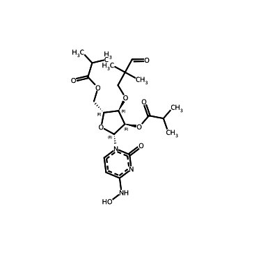 CC(C)C(=O)OC[C@H]1O[C@@H](n2ccc(NO)nc2=O)[C@H](OC(=O)C(C)C)[C@@H]1OCC(C)(C)C=O